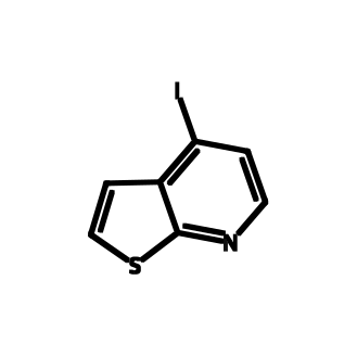 Ic1ccnc2sccc12